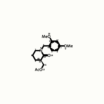 COc1ccc(CN2CCC[C@H](COC(C)=O)C2=O)c(OC)c1